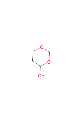 OC1CCOCO1